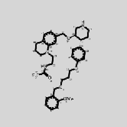 COc1ccccc1COCCCOc1ccc([C@H]2CCNC[C@@H]2OCc2ccc3c(c2)N(CCNC(=O)C(F)(F)F)CCC3)cc1